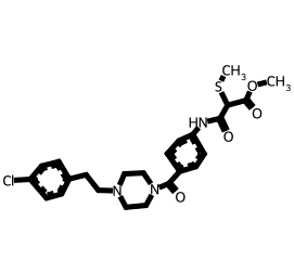 COC(=O)C(SC)C(=O)Nc1ccc(C(=O)N2CCN(CCc3ccc(Cl)cc3)CC2)cc1